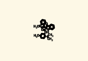 CC(C)[C@@H]1CC[C@@H](C)C[C@H]1OC(=O)[C@@]1(c2cn(C)c3ccccc23)Nc2ccccc2C1=O